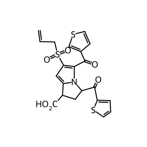 C=CCS(=O)(=O)c1cc2n(c1C(=O)c1ccsc1)C(C(=O)c1cccs1)CC2C(=O)O